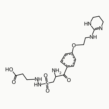 NC(CS(=O)(=O)NNCCC(=O)O)C(=O)c1ccc(OCCNC2=NCCCN2)cc1